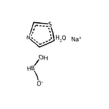 O.[Na+].[O-]BO.c1cscn1